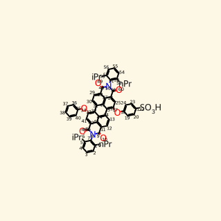 CCCc1cccc(C(C)C)c1N1C(=O)c2ccc3c4c(Oc5ccc(S(=O)(=O)O)cc5)cc5c6c(ccc(c7c(Oc8ccccc8)cc(c2c37)C1=O)c64)C(=O)N(c1c(CCC)cccc1C(C)C)C5=O